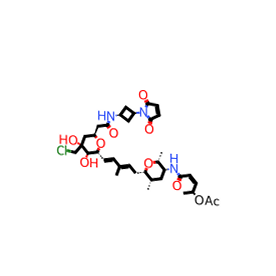 CC(=O)O[C@@H](C)/C=C\C(=O)N[C@@H]1C[C@H](C)[C@H](C/C=C(C)/C=C/[C@H]2O[C@H](CC(=O)N[C@H]3C[C@H](N4C(=O)C=CC4=O)C3)C[C@@](O)(CCl)[C@@H]2O)O[C@@H]1C